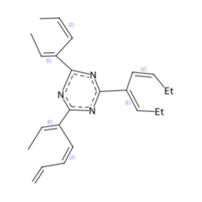 C=C/C=C\C(=C/C)c1nc(C(/C=C\C)=C/C)nc(C(/C=C\CC)=C/CC)n1